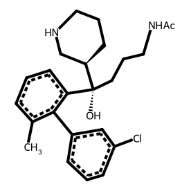 CC(=O)NCCC[C@@](O)(c1cccc(C)c1-c1cccc(Cl)c1)[C@@H]1CCCNC1